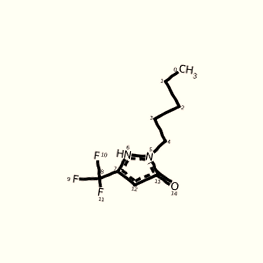 CCCCCn1[nH]c(C(F)(F)F)cc1=O